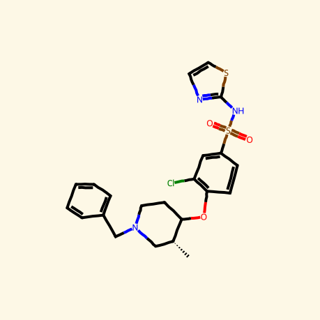 C[C@@H]1CN(Cc2ccccc2)CCC1Oc1ccc(S(=O)(=O)Nc2nccs2)cc1Cl